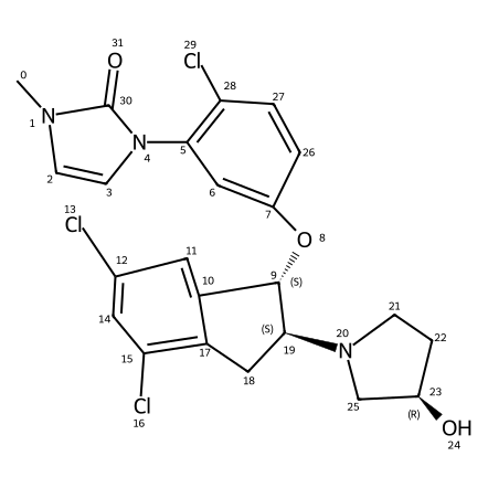 Cn1ccn(-c2cc(O[C@H]3c4cc(Cl)cc(Cl)c4C[C@@H]3N3CC[C@@H](O)C3)ccc2Cl)c1=O